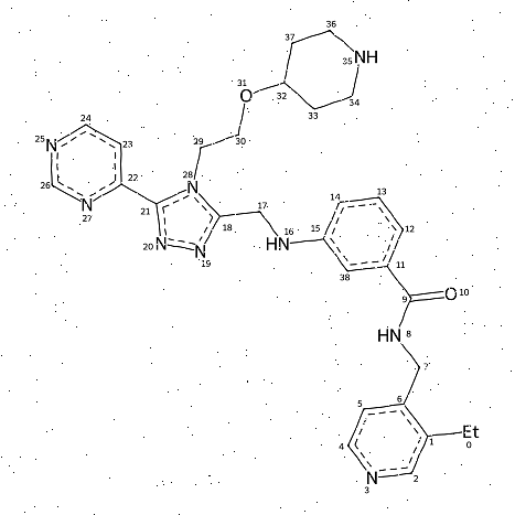 CCc1cnccc1CNC(=O)c1cccc(NCc2nnc(-c3ccncn3)n2CCOC2CCNCC2)c1